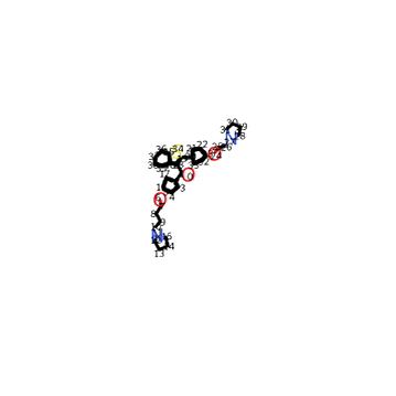 O=C(c1ccc(OCCCCN2CCCC2)cc1)c1c(-c2ccc(OCCN3CCCC3)cc2)sc2ccccc12